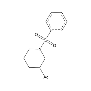 CC(=O)C1CCCN(S(=O)(=O)c2ccccc2)C1